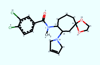 CN(C(=O)c1ccc(Cl)c(Cl)c1)C1CCCC2(CC1N1CC=CC1)OCCO2